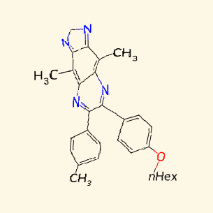 CCCCCCOc1ccc(-c2nc3c(C)c4c(c(C)c3nc2-c2ccc(C)cc2)=NCN=4)cc1